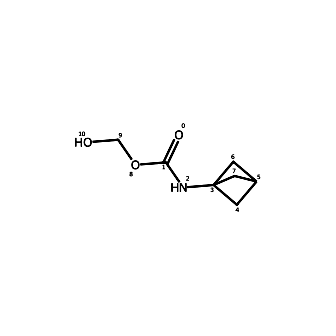 O=C(NC12CC(C1)C2)OCO